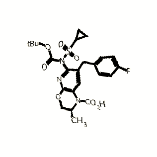 C[C@H]1COc2nc(N(C(=O)OC(C)(C)C)S(=O)(=O)C3CC3)c(Cc3ccc(F)cc3)cc2N1C(=O)O